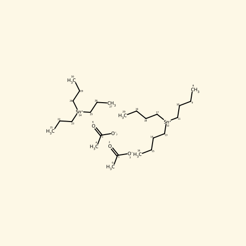 CC(=O)[O-].CC(=O)[O-].CCC[CH2][Sn+]([CH2]CCC)[CH2]CCC.CC[CH2][Sn+]([CH2]CC)[CH2]CC